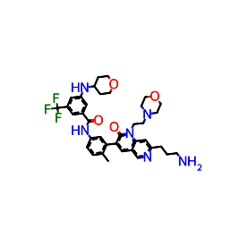 Cc1ccc(NC(=O)c2cc(NC3CCOCC3)cc(C(F)(F)F)c2)cc1-c1cc2cnc(CCCN)cc2n(CCN2CCOCC2)c1=O